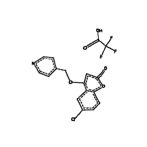 O=C(O)C(F)(F)F.O=c1cc(OCc2ccncc2)c2cc(Cl)ccc2o1